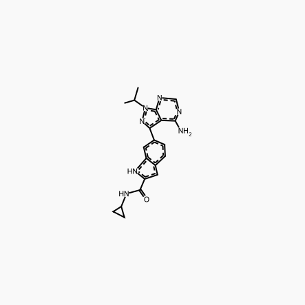 CC(C)n1nc(-c2ccc3cc(C(=O)NC4CC4)[nH]c3c2)c2c(N)ncnc21